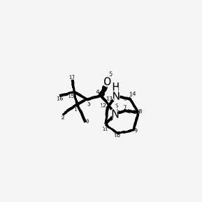 CC1(C)C(C(=O)N2CC3CCC2CNC3)C1(C)C